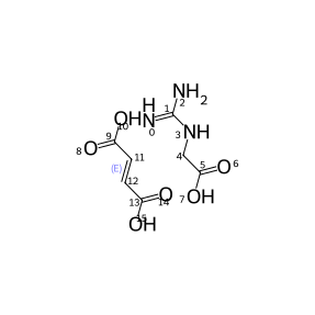 N=C(N)NCC(=O)O.O=C(O)/C=C/C(=O)O